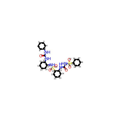 O=C(Nc1ccccc1)Nc1ccccc1NS(=O)(=O)c1ccccc1NC(=O)NS(=O)(=O)c1ccccc1